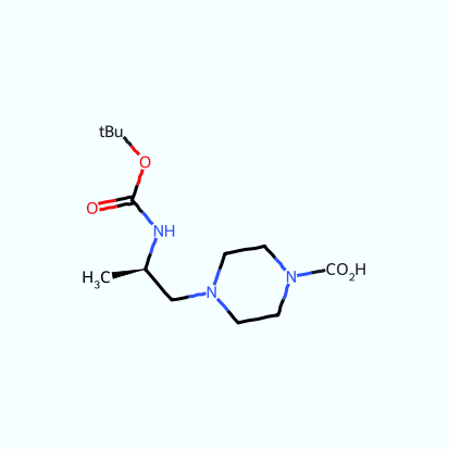 C[C@H](CN1CCN(C(=O)O)CC1)NC(=O)OC(C)(C)C